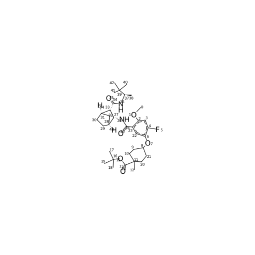 COc1cc(F)c(OC2CCC(C)(C(=O)OC(C)(C)C)CC2)cc1C(=O)N[C@@H]1[C@H]2CC[C@H](C2)[C@@H]1C(=O)N[C@H](C)C(C)(C)C